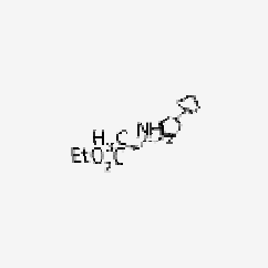 CCOC(=O)C(C)=CC(N)Cc1ccc(-c2ccccc2)cc1